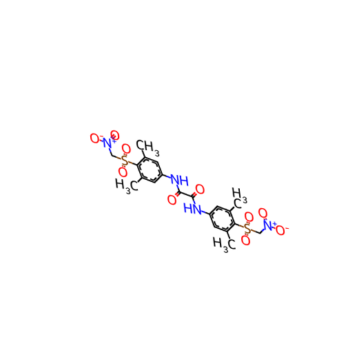 Cc1cc(NC(=O)C(=O)Nc2cc(C)c(S(=O)(=O)C[N+](=O)[O-])c(C)c2)cc(C)c1S(=O)(=O)C[N+](=O)[O-]